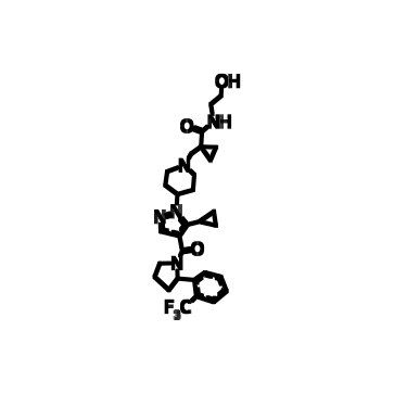 O=C(c1cnn(C2CCN(CC3(C(=O)NCCO)CC3)CC2)c1C1CC1)N1CCCC1c1ccccc1C(F)(F)F